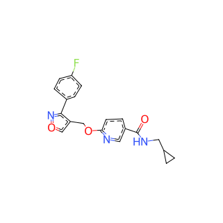 O=C(NCC1CC1)c1ccc(OCc2conc2-c2ccc(F)cc2)nc1